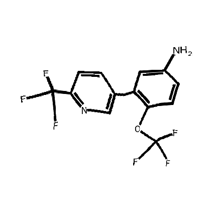 Nc1ccc(OC(F)(F)F)c(-c2ccc(C(F)(F)F)nc2)c1